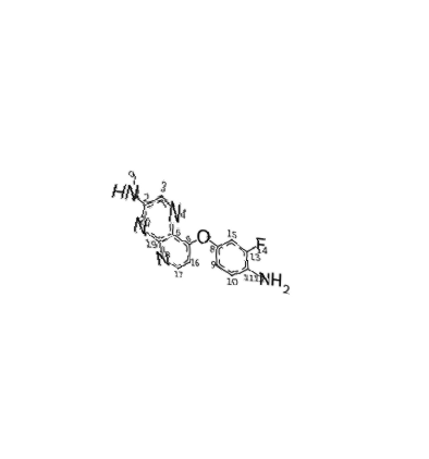 CNc1cnc2c(Oc3ccc(N)c(F)c3)ccnc2n1